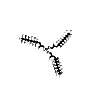 FC(F)(F)C(F)(F)C(F)(F)C(F)(F)C(F)(F)C(F)(F)CC(I)COB(OCC(I)CC(F)(F)C(F)(F)C(F)(F)C(F)(F)C(F)(F)C(F)(F)F)OCC(I)CC(F)(F)C(F)(F)C(F)(F)C(F)(F)C(F)(F)C(F)(F)F